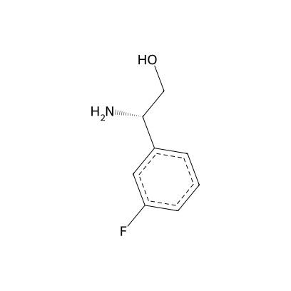 N[C@H](CO)c1cccc(F)c1